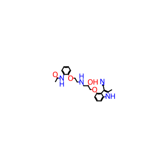 CC(=O)Nc1ccccc1OCCNCC(O)COc1cccc2[nH]c(C)c(C#N)c12